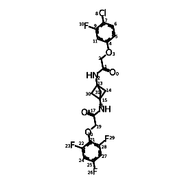 O=C(COc1ccc(Cl)c(F)c1)NC12CC(NC(=O)COc3c(F)cc(F)cc3F)(C1)C2